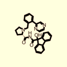 O=C(NC(=O)C1(O)c2ccccc2-c2ccccc21)[C@@H]1CCCN1Cc1ccccc1-c1cnccn1